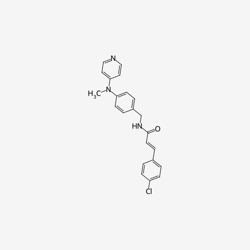 CN(c1ccncc1)c1ccc(CNC(=O)C=Cc2ccc(Cl)cc2)cc1